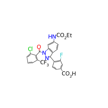 CCOC(=O)Nc1ccc2c(-c3ccc(C(=O)O)cc3F)nn(C(=O)c3c(Cl)cccc3C(F)(F)F)c2c1